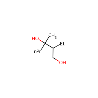 CCCC(C)(O)C(CC)CO